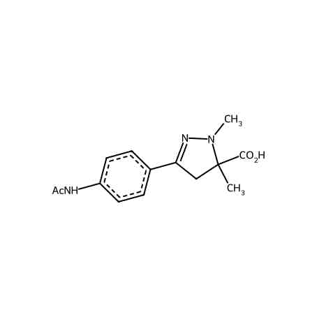 CC(=O)Nc1ccc(C2=NN(C)C(C)(C(=O)O)C2)cc1